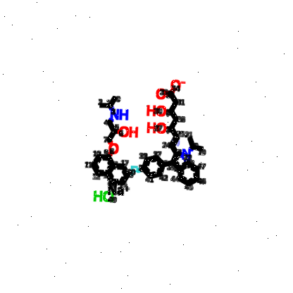 CC(C)NCC(O)COc1cccc2ccccc12.CC(C)n1c(/C=C/[C@H](O)C[C@H](O)CC(=O)[O-])c(-c2ccc(F)cc2)c2ccccc21.Cl.[Na+]